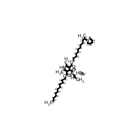 Br.[Br-].[CH2]C1=C(C(=O)OCCCCCCCCCCC(C)[n+]2ccccc2)C(C(=O)NCC=C)C(C(=O)OCCCCCCCCCCCC)=C(C)N1